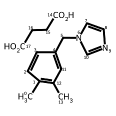 Cc1ccc(Cn2ccnc2)cc1C.O=C(O)CCC(=O)O